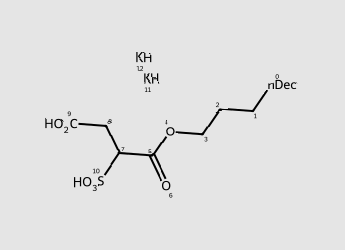 CCCCCCCCCCCCCOC(=O)C(CC(=O)O)S(=O)(=O)O.[KH].[KH]